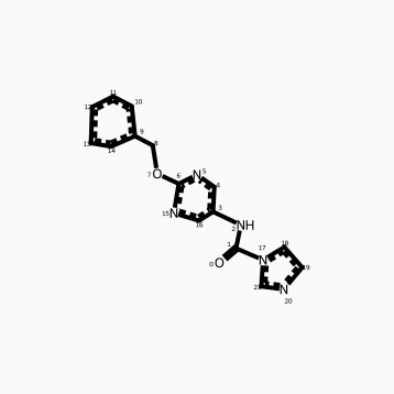 O=C(Nc1cnc(OCc2ccccc2)nc1)n1ccnc1